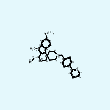 COc1ccc2c3c(n(C)c2c1)[C@@H](CO)NCC31CCN(Cc2ccc(-c3ccccn3)cc2)CC1